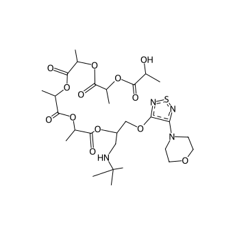 CC(O)C(=O)OC(C)C(=O)OC(C)C(=O)OC(C)C(=O)OC(C)C(=O)OC(CNC(C)(C)C)COc1nsnc1N1CCOCC1